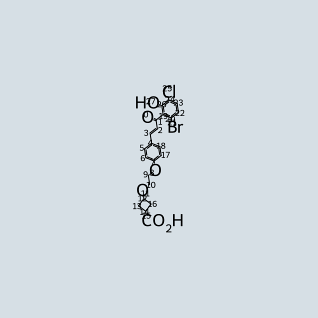 O=C(C=Cc1ccc(OCCOC2CC(C(=O)O)C2)cc1)c1c(Br)ccc(Cl)c1O